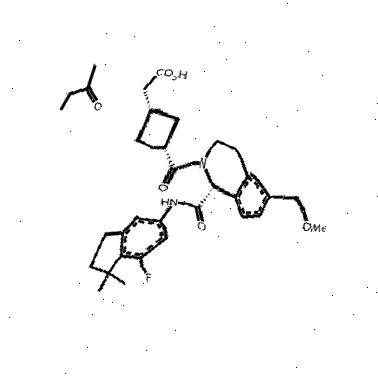 CCC(C)=O.COCc1ccc2c(c1)CCN(C(=O)[C@H]1C[C@@H](CC(=O)O)C1)[C@H]2C(=O)Nc1cc(F)c2c(c1)CCC2(C)C